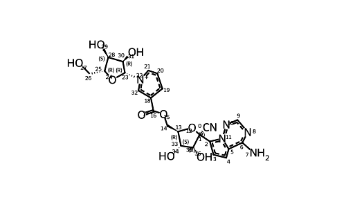 N#C[C@@]1(c2ccc3c(N)ncnn23)O[C@H](COC(=O)c2ccc[n+]([C@@H]3O[C@H](CO)[C@@H](O)[C@H]3O)c2)[C@@H](O)[C@H]1O